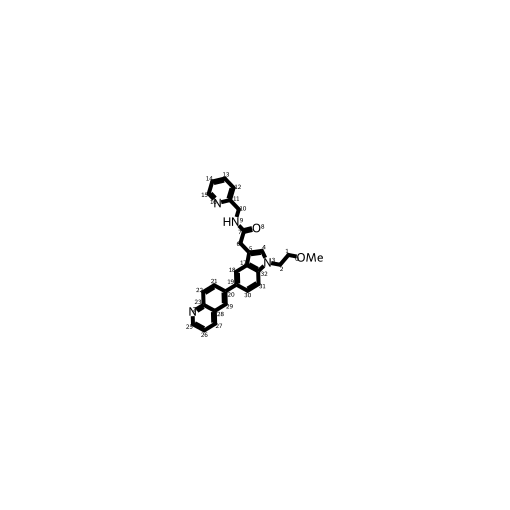 COCCn1cc(CC(=O)NCc2ccccn2)c2cc(-c3ccc4ncccc4c3)ccc21